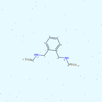 S=CNCc1ccccc1CNC=S